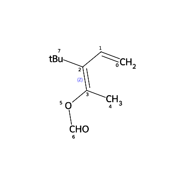 C=C/C(=C(\C)OC=O)C(C)(C)C